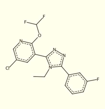 CCn1c(-c2cccc(F)c2)nnc1-c1cc(Cl)cnc1OC(F)F